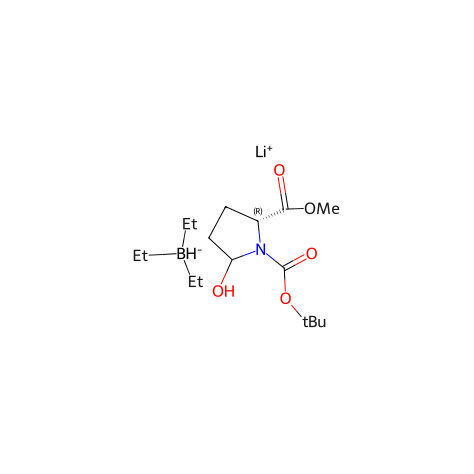 CC[BH-](CC)CC.COC(=O)[C@H]1CCC(O)N1C(=O)OC(C)(C)C.[Li+]